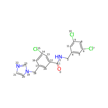 O=C(NCc1cc(Cl)cc(Cl)c1)c1cc(Cl)cc(Cn2ccnc2)c1